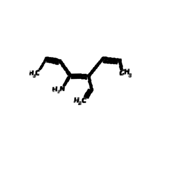 C=CC(/C=C\C)=C(N)/C=C\C